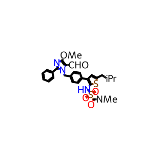 CNC(=O)S(=O)(=O)Nc1sc(CC(C)C)cc1-c1ccc(Cn2c(-c3ccccc3)nc(OC)c2C=O)cc1